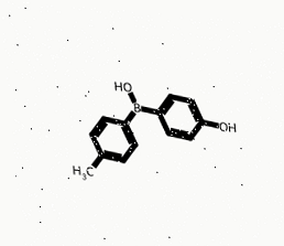 Cc1ccc(B(O)c2ccc(O)cc2)cc1